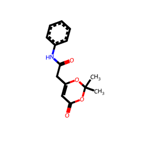 CC1(C)OC(=O)C=C(CC(=O)Nc2ccccc2)O1